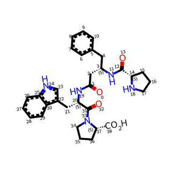 O=C(C[C@H](Cc1ccccc1)NC(=O)[C@@H]1CCCN1)N[C@@H](Cc1c[nH]c2ccccc12)C(=O)N1CCC[C@H]1C(=O)O